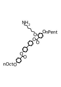 CCCCCCCCOc1ccc(C(=O)Oc2ccc(-c3ccc(OC(=O)c4ccc(OCCCCC)cc4OCCCCCCN)cc3)cc2)cc1